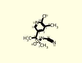 Cc1cc(C(C)S(C)(=O)=NC#N)cnc1Cl